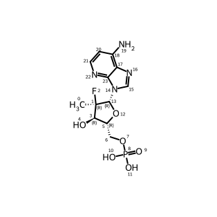 C[C@@]1(F)[C@H](O)[C@@H](COP(=O)(O)O)O[C@H]1n1cnc2c(N)ccnc21